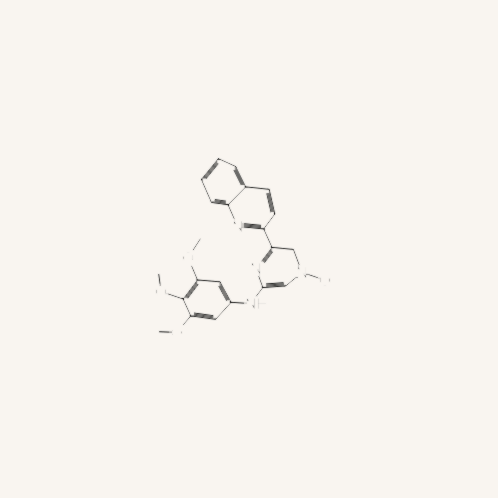 COc1cc(NC2=CN(O)CC(c3ccc4ccccc4n3)=N2)cc(OC)c1OC